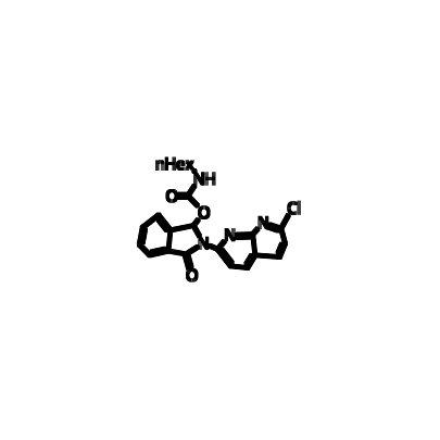 CCCCCCNC(=O)OC1c2ccccc2C(=O)N1c1ccc2ccc(Cl)nc2n1